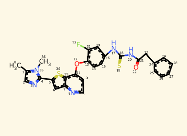 Cc1cnc(-c2cc3nccc(Oc4ccc(NC(=S)NC(=O)Cc5ccccc5)cc4F)c3s2)n1C